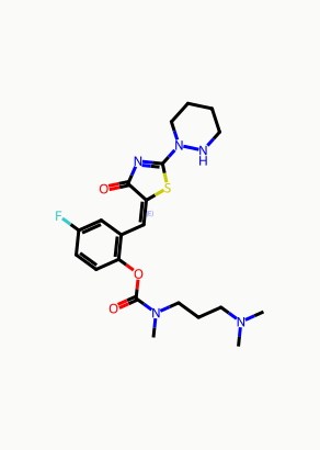 CN(C)CCCN(C)C(=O)Oc1ccc(F)cc1/C=C1/SC(N2CCCCN2)=NC1=O